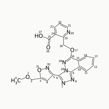 COCc1cc(-c2nnc3c4ccccc4c(OCc4ncccc4C(=O)O)nn23)no1